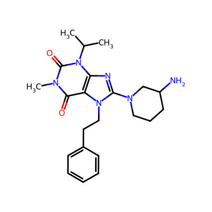 CC(C)n1c(=O)n(C)c(=O)c2c1nc(N1CCCC(N)C1)n2CCc1ccccc1